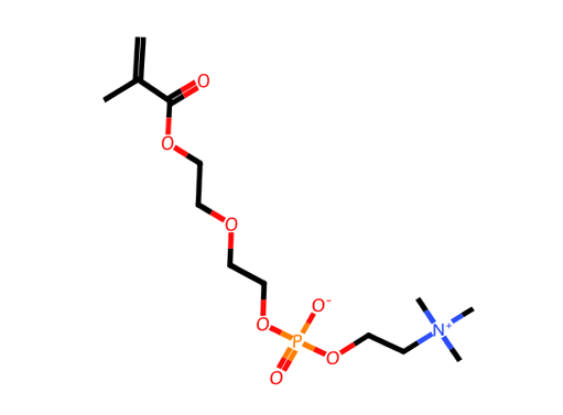 C=C(C)C(=O)OCCOCCOP(=O)([O-])OCC[N+](C)(C)C